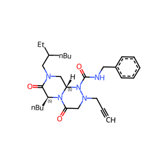 C#CCN1CC(=O)N2[C@@H](CCCC)C(=O)N(CC(CC)CCCC)C[C@@H]2N1C(=O)NCc1ccccc1